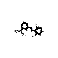 CN(C)c1cccc(/C=C/c2c(F)cccc2F)c1